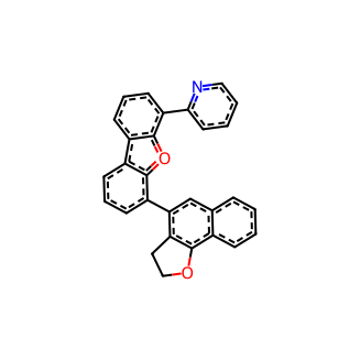 c1ccc(-c2cccc3c2oc2c(-c4cc5ccccc5c5c4CCO5)cccc23)nc1